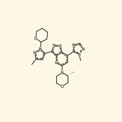 Cc1cc(-c2nsc3c(-c4ncnn4C)cc(N4CCOC[C@H]4C)nc23)n(C2CCCCO2)n1